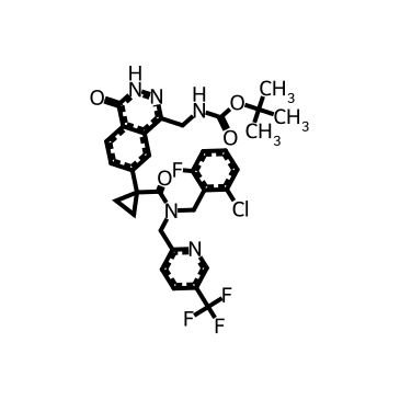 CC(C)(C)OC(=O)NCc1n[nH]c(=O)c2ccc(C3(C(=O)N(Cc4ccc(C(F)(F)F)cn4)Cc4c(F)cccc4Cl)CC3)cc12